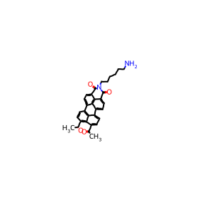 CC(=O)c1ccc2c3ccc4c5c(ccc(c6ccc(C(C)=O)c1c26)c53)C(=O)N(CCCCCCN)C4=O